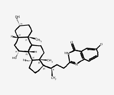 C[C@H](CCc1nc2ccc(Cl)cc2c(=O)[nH]1)[C@H]1CC[C@H]2[C@H]3C(CC[C@]12C)[C@@]1(C)CC[C@@H](O)C[C@H]1C[C@H]3O